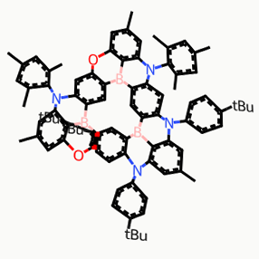 Cc1cc(C)c(N2c3cc4c(cc3B3c5cc(C(C)(C)C)ccc5Oc5cc(C)cc2c53)B2c3cc5c(cc3N(c3c(C)cc(C)cc3C)c3cc(C)cc(c32)O4)N(c2ccc(C(C)(C)C)cc2)c2cc(C)cc3c2B5c2cc(C(C)(C)C)ccc2N3c2ccc(C(C)(C)C)cc2)c(C)c1